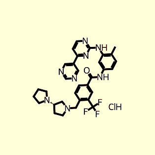 Cc1ccc(NC(=O)c2ccc(CN3CC[C@H](N4CCCC4)C3)c(C(F)(F)F)c2)cc1Nc1nccc(-c2cncnc2)n1.Cl